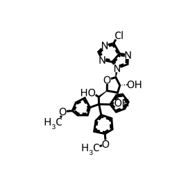 COc1ccc(C(c2ccccc2)(c2ccc(OC)cc2)C(O)[C@H]2O[C@@H](n3cnc4c(Cl)ncnc43)[C@H](O)[C@@H]2O)cc1